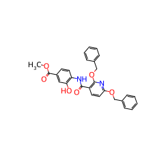 COC(=O)c1ccc(NC(=O)c2ccc(OCc3ccccc3)nc2OCc2ccccc2)c(O)c1